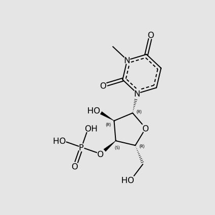 Cn1c(=O)ccn([C@@H]2O[C@H](CO)[C@@H](OP(=O)(O)O)[C@H]2O)c1=O